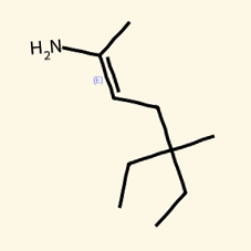 CCC(C)(CC)C/C=C(\C)N